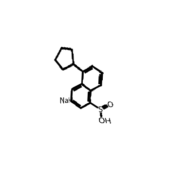 O=S(O)c1cccc2c(C3CCCC3)cccc12.[NaH]